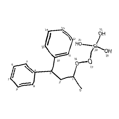 CC(CC(c1ccccc1)c1ccccc1)OO[Si](O)(O)O